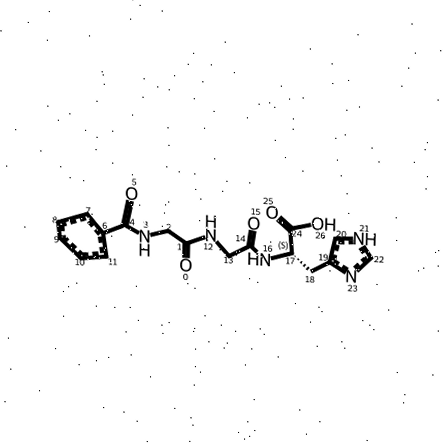 O=C(CNC(=O)c1ccccc1)NCC(=O)N[C@@H](Cc1c[nH]cn1)C(=O)O